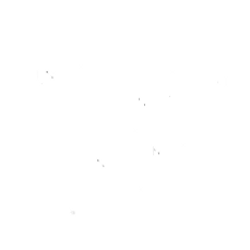 CC(C)(C)OC(=O)N1CCCC1c1nc2cccc(Cl)c2c(=O)n1-c1cccc(N)c1